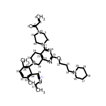 C=CC(=O)N1CCN(c2nc(OCCCN3CCCCC3)nc3c2CCN(c2c(C)ccc(C)c2/C=N\CC)C3)CC1